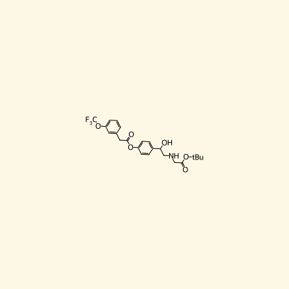 CC(C)(C)OC(=O)CNCC(O)c1ccc(OC(=O)Cc2cccc(OC(F)(F)F)c2)cc1